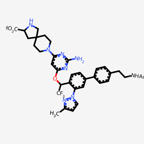 CC(=O)NCCc1ccc(-c2ccc(C(Oc3cc(N4CCC5(CC4)CNC(C(=O)O)C5)nc(N)n3)C(F)(F)F)c(-n3ccc(C)n3)c2)cc1